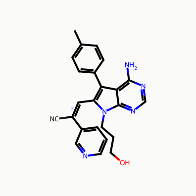 Cc1ccc(-c2c(/C=C(/C#N)c3cccnc3)n(CCCO)c3ncnc(N)c23)cc1